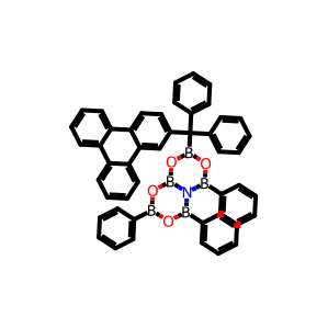 c1ccc(B2OB3OB(C(c4ccccc4)(c4ccccc4)c4ccc5c6ccccc6c6ccccc6c5c4)OB(c4ccccc4)N3B(c3ccccc3)O2)cc1